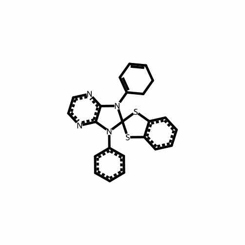 C1=CCCC(N2c3nccnc3N(c3ccccc3)C23Sc2ccccc2S3)=C1